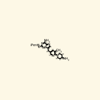 CCC[C@H](C)Oc1nc(N)c2ncc(Cc3cnc(N4CCC(N)CC4)c(C)c3)n2n1